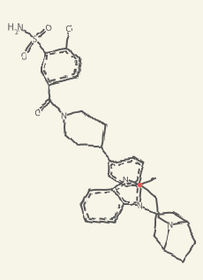 Cc1nc2ccccc2n1C1CC2CCC(C1)N2CCc1ccc(C2CCN(C(=O)c3ccc(Cl)c(S(N)(=O)=O)c3)CC2)cc1